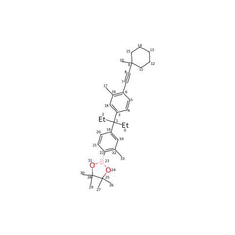 CCC(CC)(c1ccc(C#CC2(C)CCCCC2)c(C)c1)c1ccc(B2OC(C)(C)C(C)(C)O2)c(C)c1